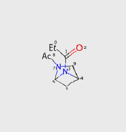 CCC(=O)N1C2CC1N(C(C)=O)C2